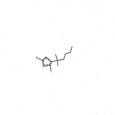 CCCCC(C)(C)c1cc(I)sc1I